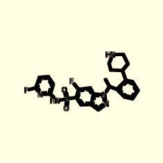 CC(c1ccccc1C1CCNCC1)n1ncc2cc(S(=O)(=O)Nc3cccc(F)n3)c(F)cc21